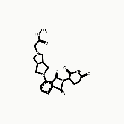 CNC(=O)CN1CC2CN(c3cccc4c3C(=O)N(C3CCC(=O)NC3=O)C4=O)CC2C1